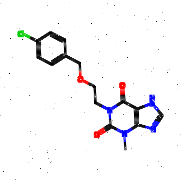 Cn1c(=O)n(CCOCc2ccc(Cl)cc2)c(=O)c2[nH]cnc21